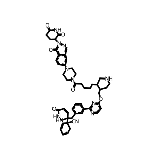 N#CC1(C2(Cc3cccc(-c4nccc(OCC5CCNCC5CCCCC(=O)N5CCN(c6ccc7c(=O)n(C8CCC(=O)NC8=O)ncc7c6)CC5)n4)c3)C=CC(=O)NN2)C=CC=CC1